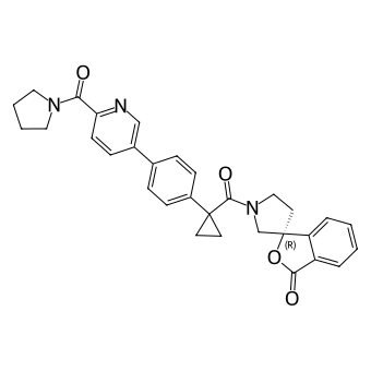 O=C1O[C@]2(CCN(C(=O)C3(c4ccc(-c5ccc(C(=O)N6CCCC6)nc5)cc4)CC3)C2)c2ccccc21